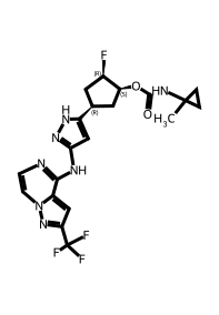 CC1(NC(=O)O[C@H]2C[C@@H](c3cc(Nc4nccn5nc(C(F)(F)F)cc45)n[nH]3)C[C@H]2F)CC1